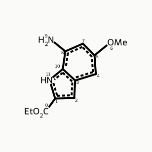 CCOC(=O)c1cc2cc(OC)cc(N)c2[nH]1